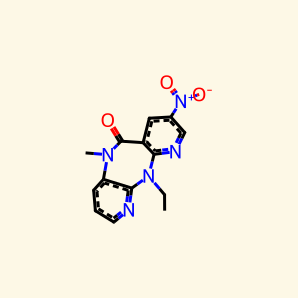 CCN1c2ncc([N+](=O)[O-])cc2C(=O)N(C)c2cccnc21